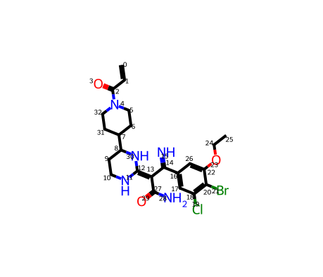 C=CC(=O)N1CCC(C2CCN/C(=C(/C(=N)c3cc(Cl)c(Br)c(OCC)c3)C(N)=O)N2)CC1